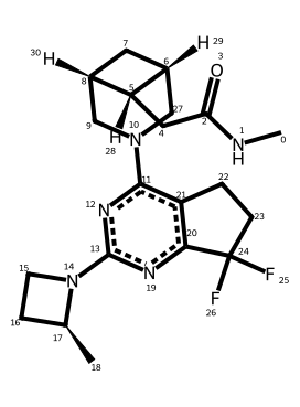 CNC(=O)C[C@H]1[C@@H]2C[C@H]1CN(c1nc(N3CC[C@@H]3C)nc3c1CCC3(F)F)C2